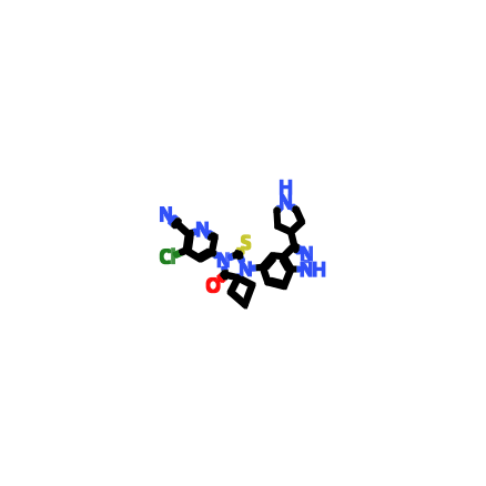 N#Cc1ncc(N2C(=O)C3(CCC3)N(c3ccc4[nH]nc(C5CCNCC5)c4c3)C2=S)cc1Cl